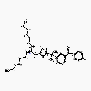 CC(C)(c1cccc(C(=O)c2ccccc2)c1)c1cc(N/C(=N\CCOCCO)NCCOCCO)on1